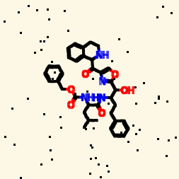 CC(C)CC(NC(=O)OCc1ccccc1)C(=O)NC(CCc1ccccc1)C(O)c1nc(C(=O)C2NCCc3ccccc32)co1